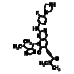 CC(C)c1ncsc1Cn1c(=O)c(C#CC(=O)N(C)C)cc2cnc(Nc3ccc(N4CCNCC4)c(F)c3)nc21